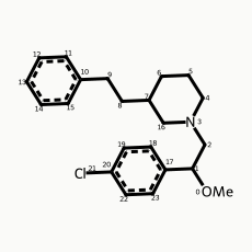 COC(CN1CCCC(CCc2ccccc2)C1)c1ccc(Cl)cc1